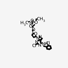 CCOP(=O)(CC(=O)OC[C@@H]1CC[C@H](n2ncc3c(NCc4ccccc4Cl)nc(Cl)nc32)O1)OCC